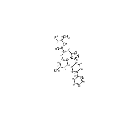 C[C@H](CF)OC(=O)N1Cc2cc(Cl)ccc2-n2c(nnc2C2CCN(c3ccccn3)CC2)C1